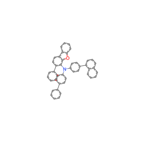 c1ccc(-c2ccc(N(c3ccc(-c4cccc5ccccc45)cc3)c3c(-c4ccccc4)ccc4c3oc3ccccc34)cc2)cc1